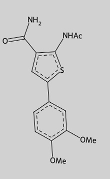 COc1ccc(-c2cc(C(N)=O)c(NC(C)=O)s2)cc1OC